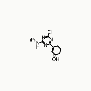 CC(C)Nc1nc(Cl)nc(C2=C[C@@H](O)CCC2)n1